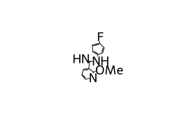 COc1ncccc1C(=N)Nc1ccc(F)cc1